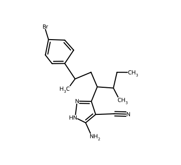 CCC(C)C(CC(C)c1ccc(Br)cc1)c1n[nH]c(N)c1C#N